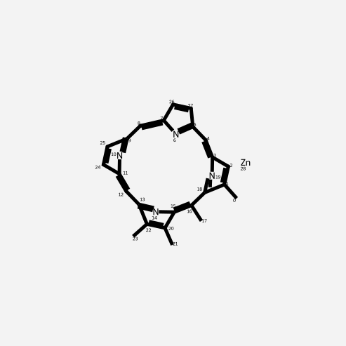 CC1=CC2=CC3=NC(=CC4=NC(=CC5=NC(=C(C)C1=N2)C(C)=C5C)C=C4)C=C3.[Zn]